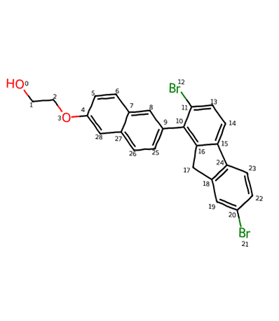 OCCOc1ccc2cc(-c3c(Br)ccc4c3Cc3cc(Br)ccc3-4)ccc2c1